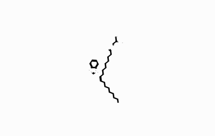 CCCCCCCC/C=C\CCCCCCCC(=O)OCC(O)CO.c1ccc2[nH]cnc2c1